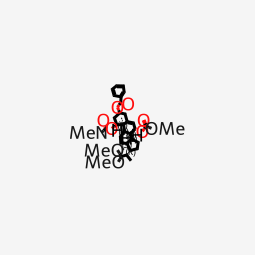 CNC(=O)OC1CC(OC(=O)c2ccccc2)CC2=CC(OC(=O)OC)[C@H]3[C@@H]4CC[C@H](C(C)C(OC)OC)[C@@]4(C)CC[C@@H]3[C@]21C